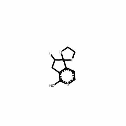 Oc1nccc2c1CC(F)C21OCCO1